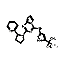 CC(C)(C)c1cc(Nc2nc(N3CCCC3c3ccccn3)nc3cccn23)n[nH]1